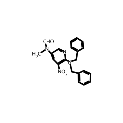 CN(C=O)c1cnc(N(Cc2ccccc2)Cc2ccccc2)c([N+](=O)[O-])c1